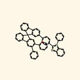 c1ccc(-c2cc3c(cc2-c2ccccc2)C2(c4ccccc4-c4ccc(-c5ccc(-c6nc7ccccc7n6-c6ccccc6)cc5)cc42)c2ccccc2-3)cc1